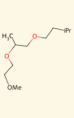 COCCOC(C)COCCC(C)C